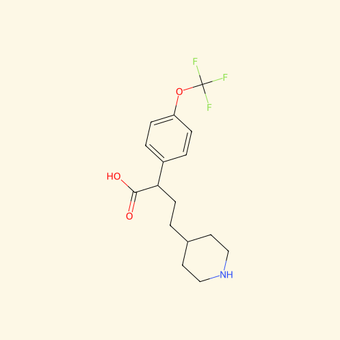 O=C(O)C(CCC1CCNCC1)c1ccc(OC(F)(F)F)cc1